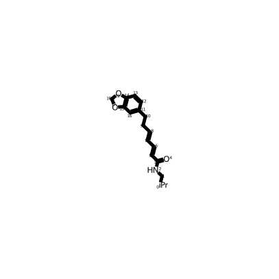 CC(C)CNC(=O)C=CC=CCCc1ccc2c(c1)OCO2